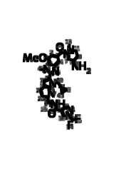 COc1cc(C(=O)N2C[C@H](N)CCN2C)cc2nc(-c3cc4ccc([C@@H](C)NC(=O)c5cnn(C(F)F)c5)nc4n3CC3CC3)n(C)c12